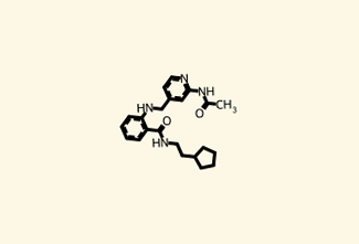 CC(=O)Nc1cc(CNc2ccccc2C(=O)NCCC2CCCC2)ccn1